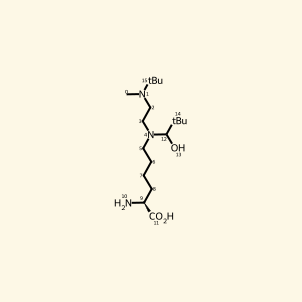 CN(CCN(CCCC[C@H](N)C(=O)O)C(O)C(C)(C)C)C(C)(C)C